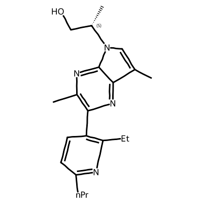 CCCc1ccc(-c2nc3c(C)cn([C@@H](C)CO)c3nc2C)c(CC)n1